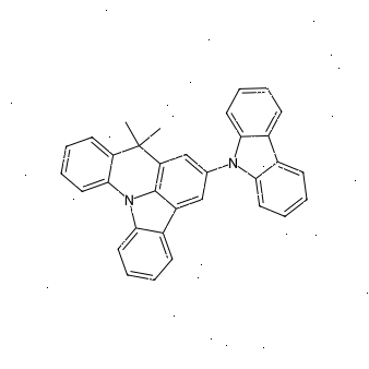 CC1(C)c2ccccc2-n2c3ccccc3c3cc(-n4c5ccccc5c5ccccc54)cc1c32